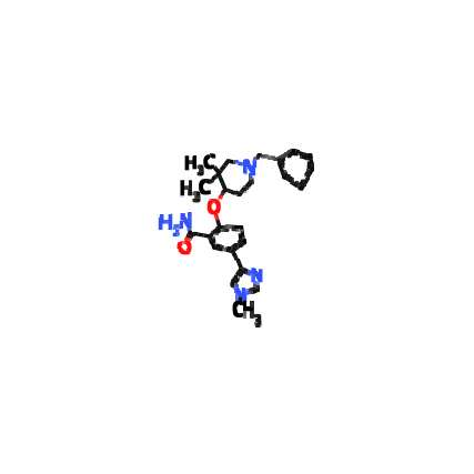 Cn1cnc(-c2ccc(OC3CCN(Cc4ccccc4)CC3(C)C)c(C(N)=O)c2)c1